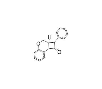 O=C1C(c2ccccc2)[C@@H]2COc3ccccc3C12